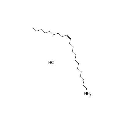 CCCCCCCC/C=C\CCCCCCCCCCCCN.Cl